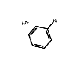 Br.[Ni][c]1ccccc1